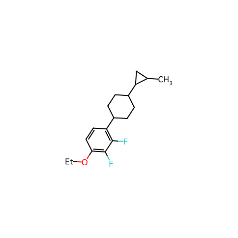 CCOc1ccc(C2CCC(C3CC3C)CC2)c(F)c1F